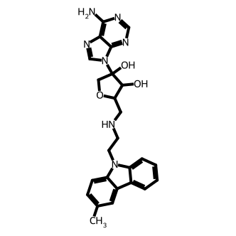 Cc1ccc2c(c1)c1ccccc1n2CCNCC1OCC(O)(n2cnc3c(N)ncnc32)C1O